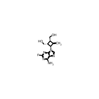 C=C1[C@@H](n2cnc3c(N)nc(F)nc32)[C@H](CO)[C@H]1CO